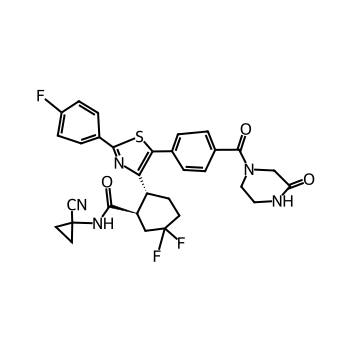 N#CC1(NC(=O)[C@@H]2CC(F)(F)CC[C@H]2c2nc(-c3ccc(F)cc3)sc2-c2ccc(C(=O)N3CCNC(=O)C3)cc2)CC1